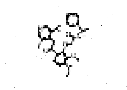 COc1ccc(C(=O)Cc2c(Cl)cncc2Cl)c(OCC(=O)NC(C)c2ccccc2)c1OC